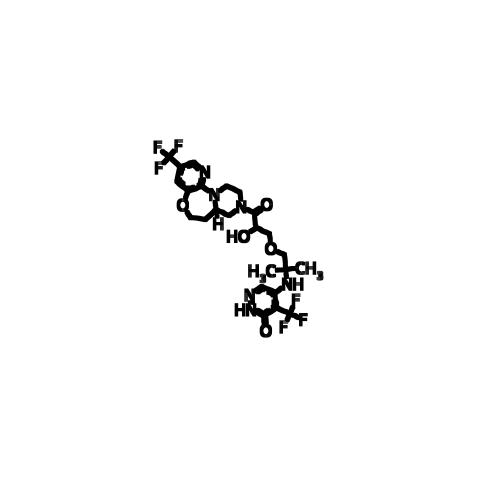 CC(C)(COCC(O)C(=O)N1CCN2c3ncc(C(F)(F)F)cc3OCC[C@H]2C1)Nc1cn[nH]c(=O)c1C(F)(F)F